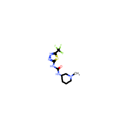 CN1CCC[C@@H](NC(=O)Nc2nnc(C(F)(F)F)s2)C1